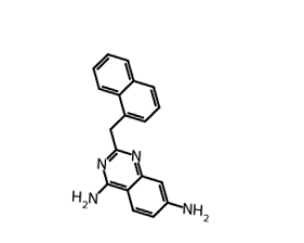 Nc1ccc2c(N)nc(Cc3cccc4ccccc34)nc2c1